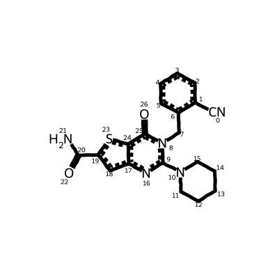 N#Cc1ccccc1Cn1c(N2CCCCC2)nc2cc(C(N)=O)sc2c1=O